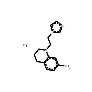 Cl.Cl.Nc1ccc2c(c1)N(CCn1ccnc1)CCC2